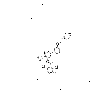 CC(Oc1cc(-c2cccc(OCCN3CCOCC3)c2)cnc1N)c1c(Cl)ccc(F)c1Cl